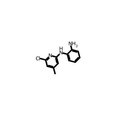 Cc1cc(Cl)nc(Nc2ccccc2N)c1